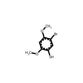 COc1cc(OC)c(Br)cc1S